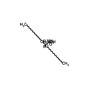 CCCCCCCCCCCCCCCCCCOC(=O)CC(SC[C@H](N)C(=O)O)C(=O)OCCCCCCCCCCCCCCCCCC